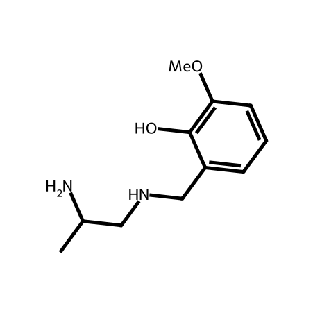 COc1cccc(CNCC(C)N)c1O